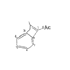 CC(=O)C1=Cc2ccccc21